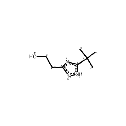 CC(C)(C)c1nc(CCO)n[nH]1